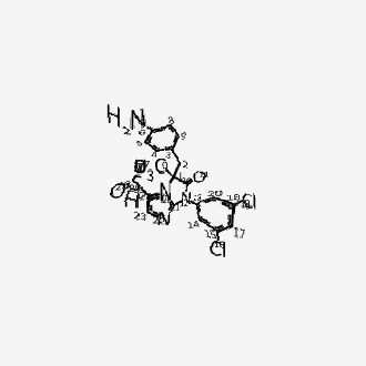 C[C@@]1(Cc2ccc(N)cc2)C(=O)N(c2cc(Cl)cc(Cl)c2)c2ncc([SH](=O)=O)n21